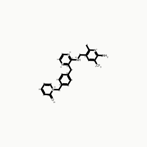 Cc1nc(N)c(C(F)(F)F)cc1CNc1nccnc1Cc1ccc(Cn2ccccc2=O)cc1